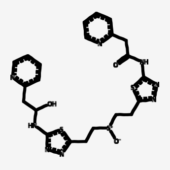 O=C(Cc1ccccn1)Nc1nnc(CC[S+]([O-])CCc2nnc(NC(O)Cc3ccccn3)s2)s1